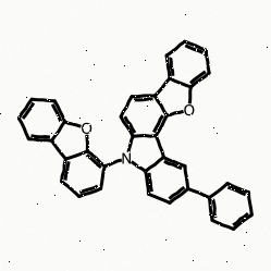 c1ccc(-c2ccc3c(c2)c2c4oc5ccccc5c4ccc2n3-c2cccc3c2oc2ccccc23)cc1